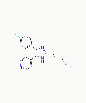 NCCCc1nc(-c2ccc(F)cc2)c(-c2ccncc2)[nH]1